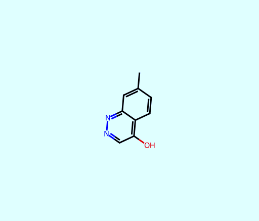 Cc1ccc2c(O)cnnc2c1